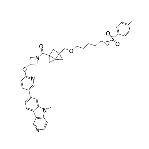 Cc1ccc(S(=O)(=O)OCCCCCOCC23CC4(C(=O)N5CC(Oc6ccc(-c7ccc8c9cnccc9n(C)c8c7)cn6)C5)CC24C3)cc1